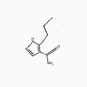 CCCc1[nH]ncc1C(N)=O